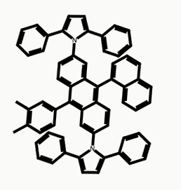 Cc1ccc(-c2c3cc(-n4c(-c5ccccc5)ccc4-c4ccccc4)ccc3c(-c3cccc4ccccc34)c3cc(-n4c(-c5ccccc5)ccc4-c4ccccc4)ccc23)cc1C